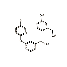 OCc1cccc(O)c1.OCc1cccc(Oc2ncc(Br)cn2)c1